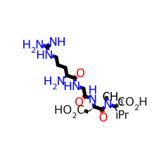 CC(C)[C@@H](C(=O)O)N(C)C(=O)[C@H](CC(=O)O)NC(=O)CNC(=O)[C@@H](N)CCCNC(=N)N